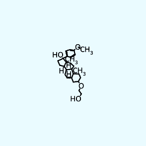 COc1ccc(C2(O)CC[C@H]3[C@@H]4CC=C5CC(OCCO)CC[C@]5(C)[C@@H]4CC[C@@]32C)cc1